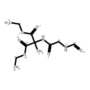 CCOC(=O)C(C)(NC(=O)CNC=O)C(=O)OCC